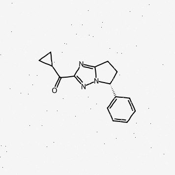 O=C(c1nc2n(n1)[C@@H](c1ccccc1)CC2)C1CC1